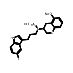 CCCN(CCCc1c[nH]c2ccc(F)cc12)C1COc2cccc(OC)c2C1.Cl